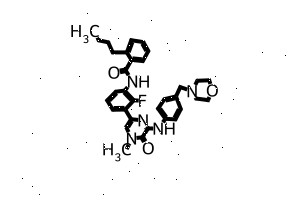 CCCCc1ccccc1C(=O)Nc1cccc(-c2cn(C)c(=O)c(Nc3ccc(CN4CCOCC4)cc3)n2)c1F